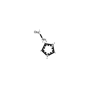 NC=O.c1cscn1